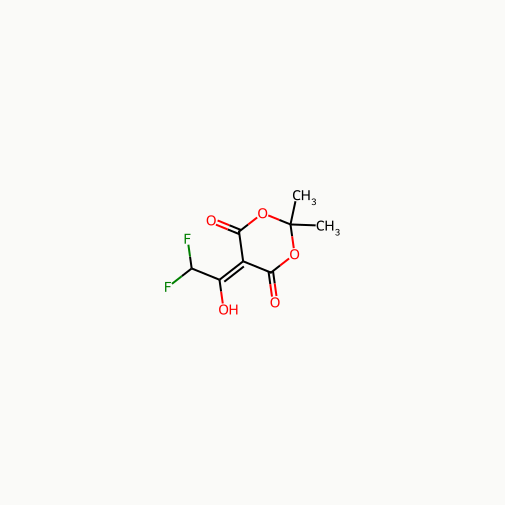 CC1(C)OC(=O)C(=C(O)C(F)F)C(=O)O1